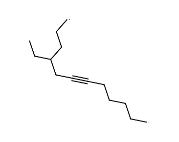 [CH2]CCCCC#CCC(CC)CC[CH2]